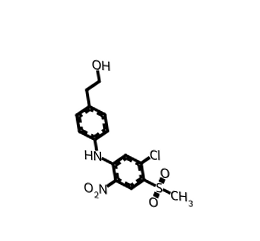 CS(=O)(=O)c1cc([N+](=O)[O-])c(Nc2ccc(CCO)cc2)cc1Cl